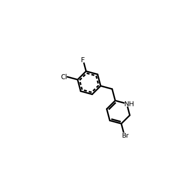 Fc1cc(CC2=CC=C(Br)CN2)ccc1Cl